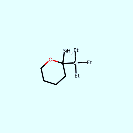 CC[Si](CC)(CC)C1([SiH3])CCCCO1